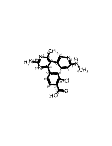 CNc1ccc(-c2c(C)nc(N)nc2-c2ccc(C(=O)O)c(Cl)c2)cn1